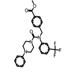 COC(=O)c1ccc(CN(C(=O)N2CCN(c3ccccc3)CC2)c2cccc(C(F)(F)F)c2)cc1